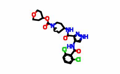 O=C(NC1CCN(C(=O)OC2CCOCC2)CC1)c1n[nH]cc1NC(=O)c1c(Cl)cccc1Cl